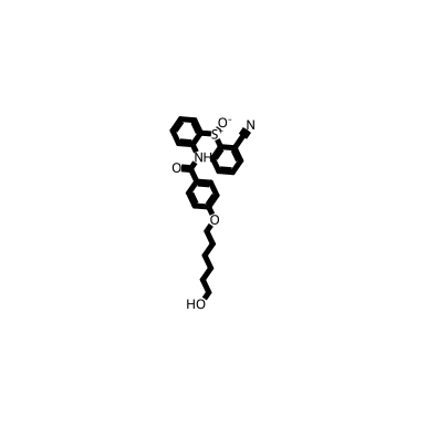 N#Cc1ccccc1[S+]([O-])c1ccccc1NC(=O)c1ccc(OCCCCCCO)cc1